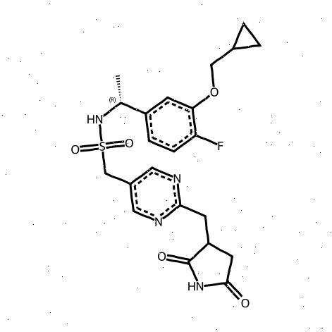 C[C@@H](NS(=O)(=O)Cc1cnc(CC2CC(=O)NC2=O)nc1)c1ccc(F)c(OCC2CC2)c1